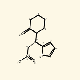 O=C1CCCCC1[C@@H](C[N+](=O)[O-])c1cccs1